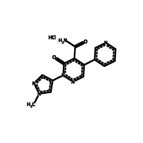 Cl.Cn1cc(-n2ncc(-c3cccnc3)c(C(N)=O)c2=O)cn1